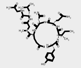 CC[C@H](C)[C@@H]1NC(=O)[C@H](Cc2ccc(O)cc2)NCC(=O)CC[C@@H](C(=O)N(C)CC(=O)N[C@@H](CC(C)C)C(=O)NCC(N)=O)NC(=O)[C@H](CC(N)=O)NC(=O)[C@H](CCC(N)=O)NC1=O